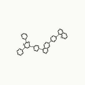 c1ccc(-c2cc(-c3ccc(-c4cccc5cc(-c6ccc(-c7cccc8cccnc78)cc6)ccc45)cc3)nc(-c3ccccc3)n2)cc1